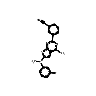 C#Cc1cccc(-c2nc(N)c3cc(N(C)c4cccc(F)c4)sc3n2)c1